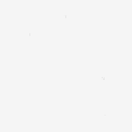 FCCCN1CC(Cc2ccc(C3=C(c4ccc(Cl)c(F)c4F)CCCc4ccccc43)cc2)C1